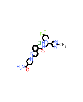 NC(=O)C1CCN(c2ccc3c(C(=O)NCC(c4cnc(C(F)(F)F)nc4)N4CCC(F)(F)CC4)c(Cl)ccc3n2)CC1